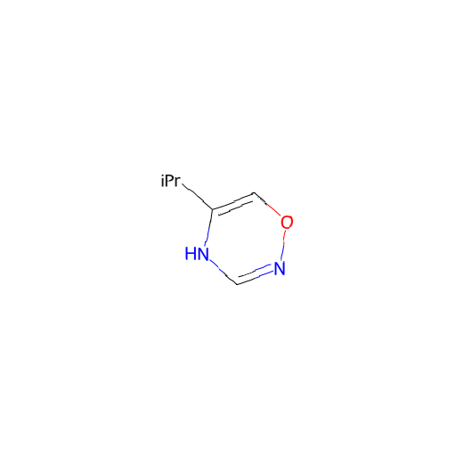 CC(C)C1=CON=CN1